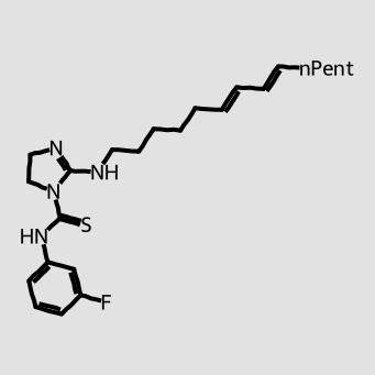 CCCCCC=CC=CCCCCCNC1=NCCN1C(=S)Nc1cccc(F)c1